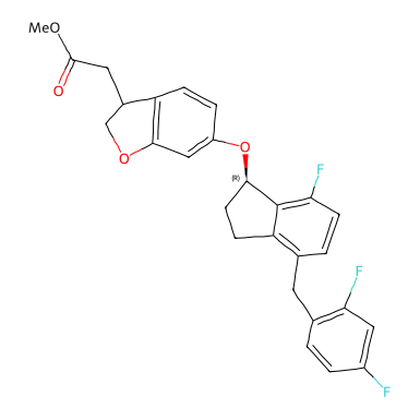 COC(=O)CC1COc2cc(O[C@@H]3CCc4c(Cc5ccc(F)cc5F)ccc(F)c43)ccc21